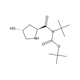 CC(C)(C)OC(=O)N(C(=O)[C@@H]1C[C@@H](O)CN1)C(C)(C)C